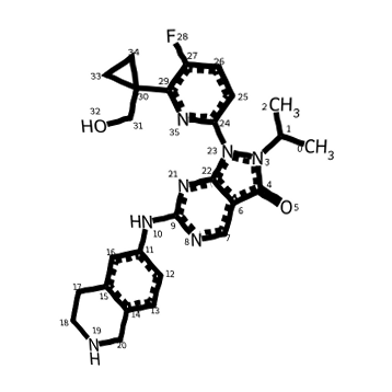 CC(C)n1c(=O)c2cnc(Nc3ccc4c(c3)CCNC4)nc2n1-c1ccc(F)c(C2(CO)CC2)n1